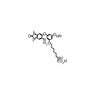 CCCOc1cc(OCCCCCCNC(=O)O)cc(Oc2cc3c(cc2N)n(C)c(=O)n3C)c1